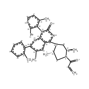 C=CC(=O)N1C[C@H](C)N(c2nc(=O)n(-c3c(C)ccnc3C(C)C)c3nc(-c4ccccc4C(=O)O)c(F)cc23)C[C@H]1C